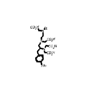 CCCCc1ccc(CC(CN(CCN(CC)CC(=O)O)CC(=O)O)N(CC(=O)O)CC(=O)O)cc1